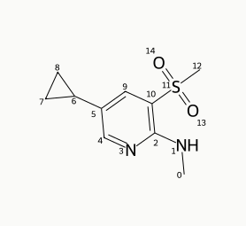 CNc1ncc(C2CC2)cc1S(C)(=O)=O